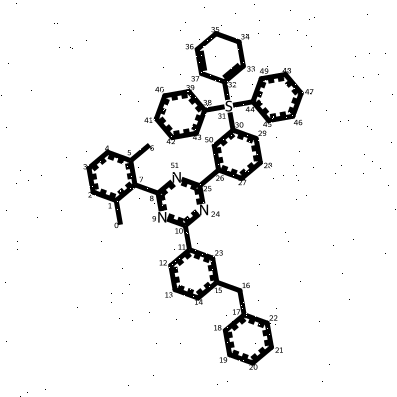 Cc1cccc(C)c1-c1nc(-c2cccc(Cc3ccccc3)c2)nc(-c2cccc(S(C3=CCCC=C3)(c3ccccc3)c3ccccc3)c2)n1